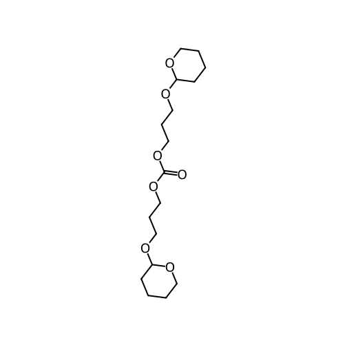 O=C(OCCCOC1CCCCO1)OCCCOC1CCCCO1